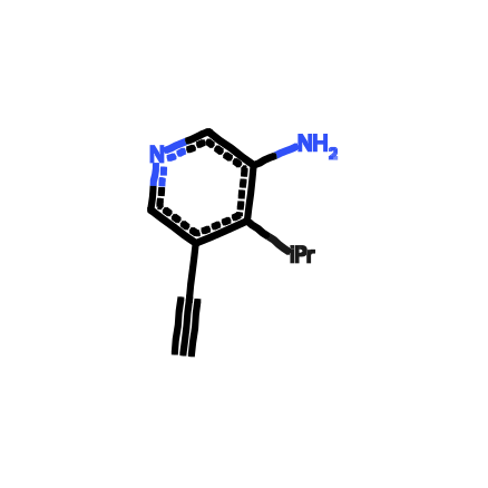 C#Cc1cncc(N)c1C(C)C